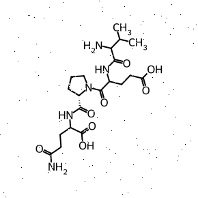 CC(C)C(N)C(=O)NC(CCC(=O)O)C(=O)N1CCC[C@H]1C(=O)NC(CCC(N)=O)C(=O)O